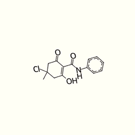 CC1(Cl)CC(=O)C(C(=O)Nc2ccccc2)=C(O)C1